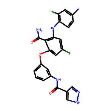 NC(=O)c1c(Nc2ccc(I)cc2F)cc(F)cc1Oc1cccc(NC(=O)c2cn[nH]c2)c1